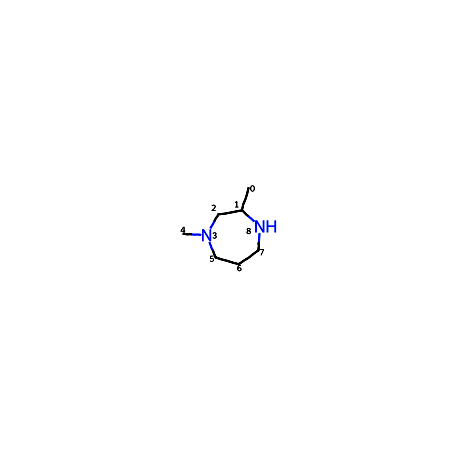 CC1CN(C)CCCN1